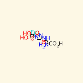 NC(CC(=O)Nc1ccn([C@@H]2O[C@H](CO)[C@H](O)C2(F)F)c(=O)n1)C(=O)O